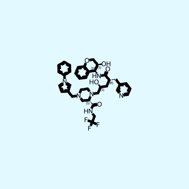 O=C(N[C@H]1c2ccccc2OC[C@H]1O)[C@H](Cc1cccnc1)C[C@H](O)CN1CCN(Cc2ccn(-c3ccccc3)c2)C[C@H]1C(=O)NCC(F)(F)F